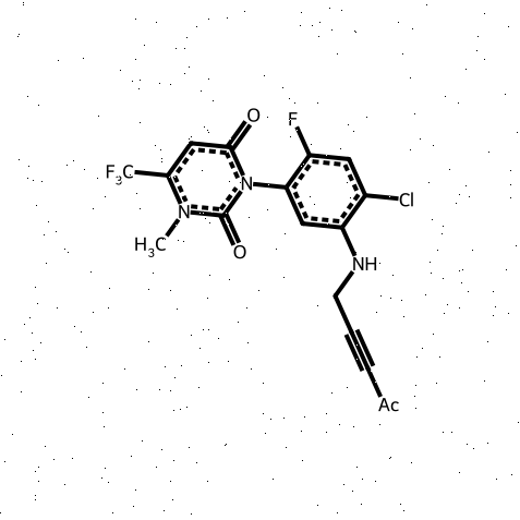 CC(=O)C#CCNc1cc(-n2c(=O)cc(C(F)(F)F)n(C)c2=O)c(F)cc1Cl